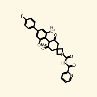 COc1cc(-c2ccc(F)cc2)cc(C)c1C1C(=O)CC2(CC1=O)CN(C(=O)NC(=O)c1ccccn1)C2